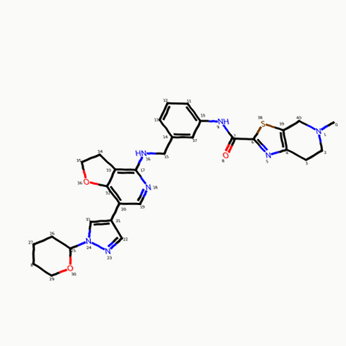 CN1CCc2nc(C(=O)Nc3cccc(CNc4ncc(-c5cnn(C6CCCCO6)c5)c5c4CCO5)c3)sc2C1